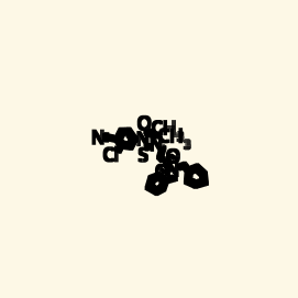 CC1(C)C(=O)N(c2ccc(C#N)c(Cl)c2)C(=S)N1CCS(=O)(=O)N(Cc1ccccc1)Cc1ccccc1